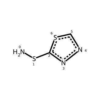 NSc1nncs1